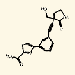 NC(=O)c1nc(-c2cccc(C#C[C@@]3(CO)CCNC3=O)c2)cs1